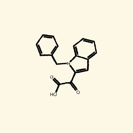 O=C(O)C(=O)c1cc2ccccc2n1Cc1ccccc1